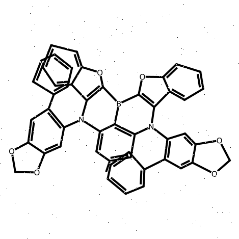 Cc1cc2c3c(c1)N(c1cc4c(cc1-c1ccccc1)OCO4)c1c(oc4ccccc14)B3c1oc3ccccc3c1N2c1cc2c(cc1-c1ccccc1)OCO2